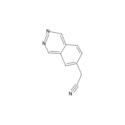 N#CCc1ccc2cnncc2c1